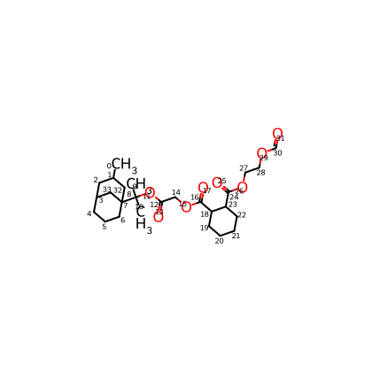 CC1CC2CCCC(C(C)(C)OC(=O)COC(=O)C3CCCCC3C(=O)OCCOC=O)(C1)C2